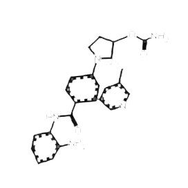 NC(=O)OC1CCN(c2ccc(C(=O)Nc3ccccc3N)cc2)[C@H]1Cc1cccnc1